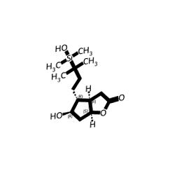 CC(C)(CC[C@@H]1[C@H]2CC(=O)O[C@H]2C[C@H]1O)[Si](C)(C)O